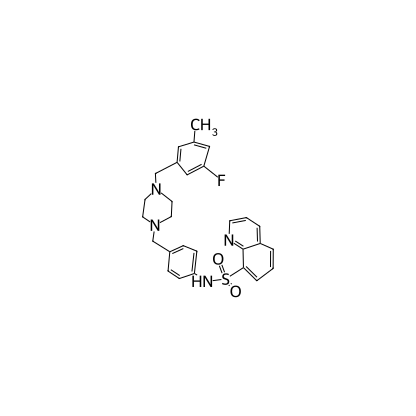 Cc1cc(F)cc(CN2CCN(Cc3ccc(NS(=O)(=O)c4cccc5cccnc45)cc3)CC2)c1